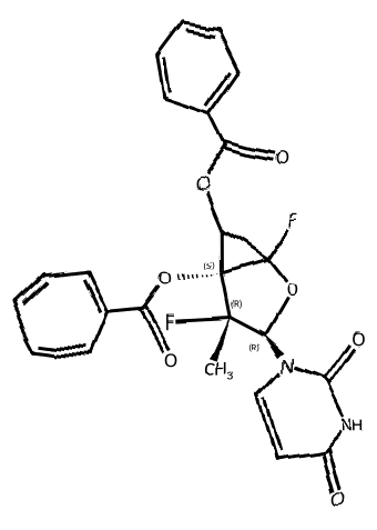 C[C@]1(F)[C@H](n2ccc(=O)[nH]c2=O)OC2(F)C(OC(=O)c3ccccc3)[C@@]21OC(=O)c1ccccc1